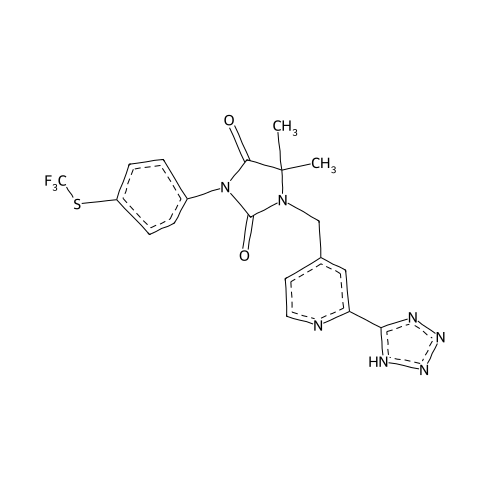 CC1(C)C(=O)N(c2ccc(SC(F)(F)F)cc2)C(=O)N1Cc1ccnc(-c2nnn[nH]2)c1